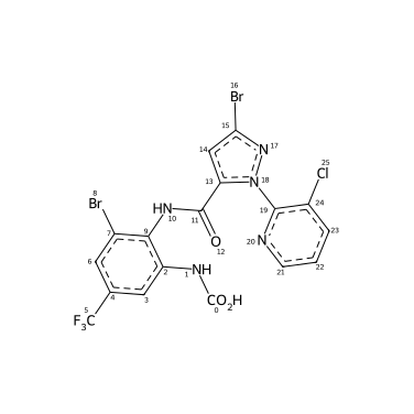 O=C(O)Nc1cc(C(F)(F)F)cc(Br)c1NC(=O)c1cc(Br)nn1-c1ncccc1Cl